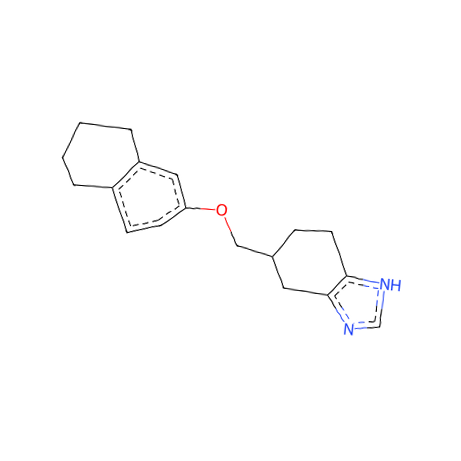 c1nc2c([nH]1)CCC(COc1ccc3c(c1)CCCC3)C2